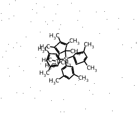 CC1=C(C)C(C)([Si](c2cc(C)cc(C)c2)(c2cc(C)cc(C)c2)c2cc(C)cc(C)c2)[C]([Ti]([CH3])([CH3])[CH3])=C1C